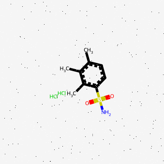 Cc1ccc(S(N)(=O)=O)c(C)c1C.Cl.Cl